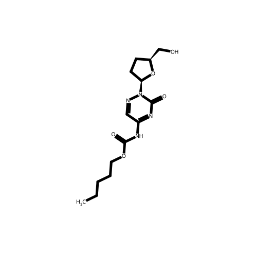 CCCCCOC(=O)Nc1cnn([C@H]2CC[C@@H](CO)O2)c(=O)n1